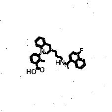 Cc1c(C(=O)O)cccc1N1CC(CCCN[C@H](C)c2ccc(F)c3ccccc23)Cc2ccccc21